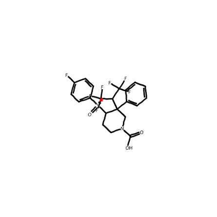 O=C(O)N1CCC(S(=O)(=O)c2ccc(F)cc2)C(c2ccccc2)(C(C(F)(F)F)C(F)(F)F)C1